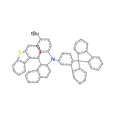 CC(C)(C)c1ccc(N(c2ccc3c(c2)-c2ccccc2C32c3ccccc3-c3ccccc32)c2ccc3ccccc3c2-c2cccc3sc4ccccc4c23)cc1